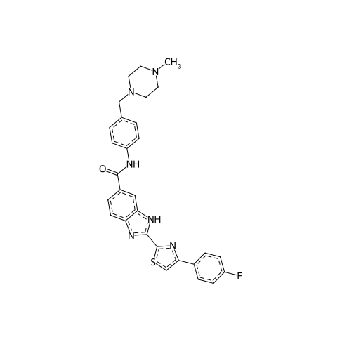 CN1CCN(Cc2ccc(NC(=O)c3ccc4nc(-c5nc(-c6ccc(F)cc6)cs5)[nH]c4c3)cc2)CC1